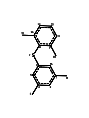 Cc1cc(C)cc(Sc2c(C)cccc2C)c1